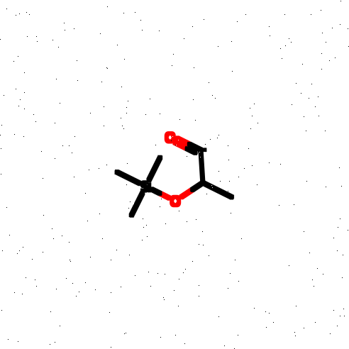 CC([C]=O)O[Si](C)(C)C